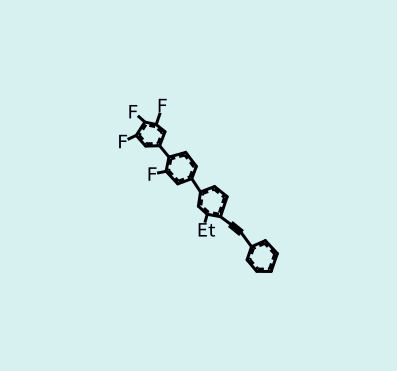 CCc1cc(-c2ccc(-c3cc(F)c(F)c(F)c3)c(F)c2)ccc1C#Cc1ccccc1